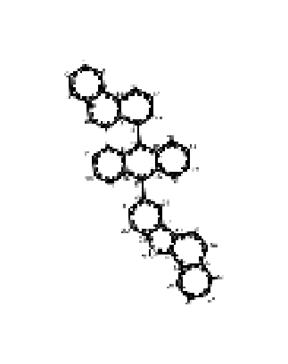 c1ccc2c(c1)ccc1c(-c3c4ccccc4c(-c4ccc5oc6c7ccccc7ccc6c5c4)c4ccccc34)cccc12